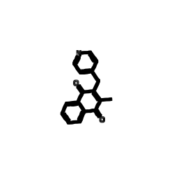 CC1=C(Cc2ccncc2)C(=O)c2ccccc2C1=O